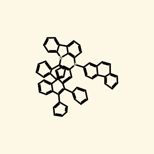 c1ccc(-c2c(-c3ccccc3)c3cc(N(c4ccc5c(ccc6ccccc65)c4)c4cccc5c6ccccc6n(-c6cccc7ccccc67)c45)ccc3c3ccccc23)cc1